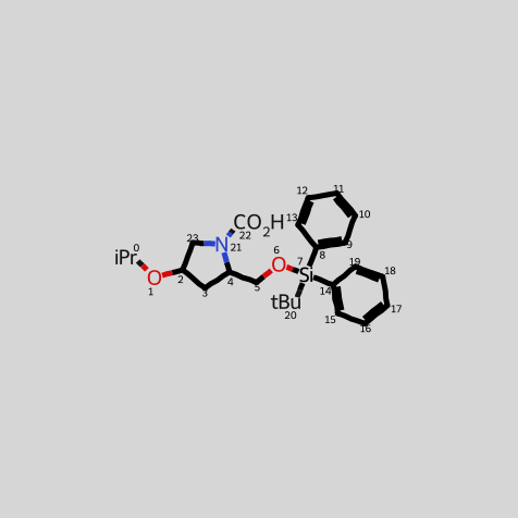 CC(C)OC1CC(CO[Si](c2ccccc2)(c2ccccc2)C(C)(C)C)N(C(=O)O)C1